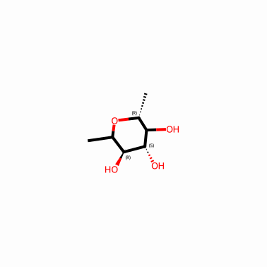 CC1O[C@H](C)C(O)[C@H](O)[C@H]1O